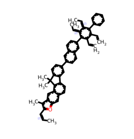 C=Cc1c(C=C)c(-c2ccc3cc(-c4ccc5c(c4)-c4ccc6cc7oc(/C=C\C)c(C)c7cc6c4C5(C)C)ccc3c2)c(=C/C)/c(=C\C)c1-c1ccccc1